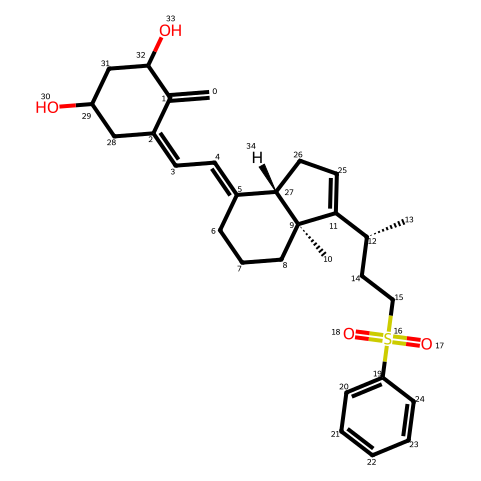 C=C1/C(=C\C=C2/CCC[C@]3(C)C([C@H](C)CCS(=O)(=O)c4ccccc4)=CC[C@@H]23)CC(O)CC1O